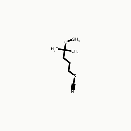 CC(C)(CCCSC#N)O[SiH3]